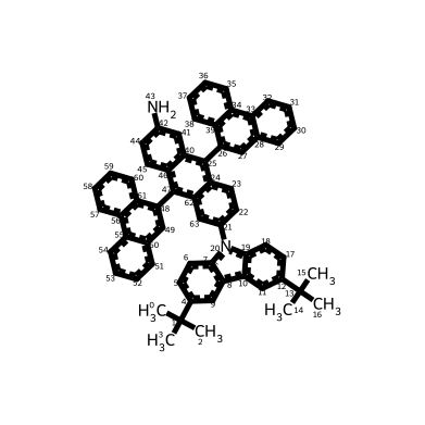 CC(C)(C)c1ccc2c(c1)c1cc(C(C)(C)C)ccc1n2-c1ccc2c(-c3cc4ccccc4c4ccccc34)c3cc(N)ccc3c(-c3cc4ccccc4c4ccccc34)c2c1